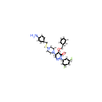 Nc1ccc(CSN2CCN(c3cnn(-c4cc(F)cc(F)c4)c(=O)c3OCc3ccccc3)CC2)cc1